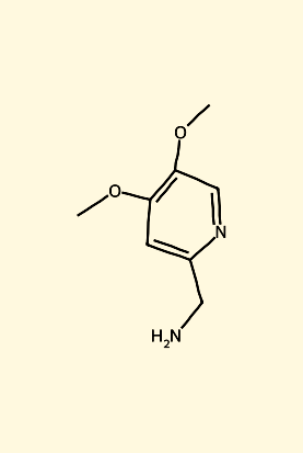 COc1cnc(CN)cc1OC